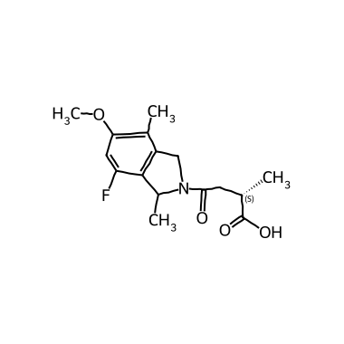 COc1cc(F)c2c(c1C)CN(C(=O)C[C@H](C)C(=O)O)C2C